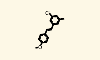 COc1ccc(/C=C/c2cc(C)cc(Cl)c2)cc1